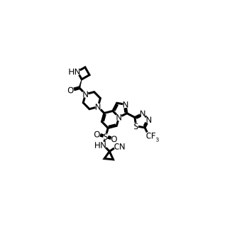 N#CC1(NS(=O)(=O)c2cc(N3CCN(C(=O)[C@@H]4CCN4)CC3)c3cnc(-c4nnc(C(F)(F)F)s4)n3c2)CC1